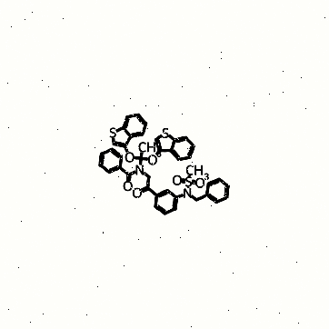 CC(Oc1csc2ccccc12)(Oc1csc2ccccc12)N(CC(=O)c1cccc(N(Cc2ccccc2)S(C)(=O)=O)c1)C(=O)c1ccccc1